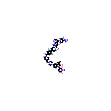 CNc1cc(=O)n(-c2ccnc3c2cc([C@H](C)N2CC=C(c4c(F)cc(C(=O)N5CCC(CN6CCN(c7ccc8c(c7)C7(CC7)C(=O)N8[C@@H]7CCC(=O)NC7=O)CC6)CC5)cc4F)CC2)n3C)cc1F